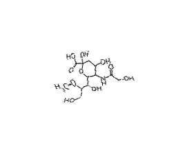 COC(CO)C(O)C1OC(O)(C(=O)O)CC(O)C1NC(=O)CO